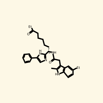 CCC(=O)CCCCC[C@H](NC(=O)Cc1c(C)[nH]c2ccc(CC)cc12)c1ncc(-c2ccccc2)[nH]1